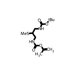 C=C(C)OC(=O)NCC(CNC(=O)OC(C)(C)C)SC